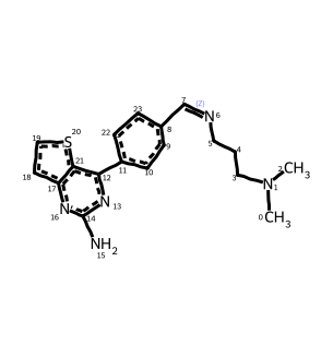 CN(C)CCC/N=C\c1ccc(-c2nc(N)nc3ccsc23)cc1